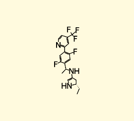 CC[C@H]1CC(NC(C)c2cc(F)c(-c3cc(C(F)(F)F)ccn3)cc2F)=CN1